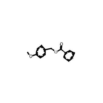 COc1ccc(COC(=O)c2cc[c]cc2)cc1